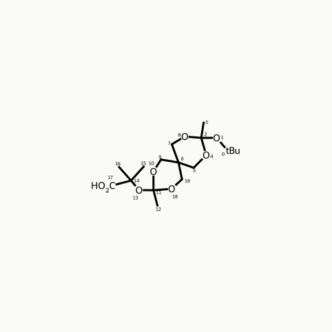 CC(C)(C)OC1(C)OCC2(CO1)COC(C)(OC(C)(C)C(=O)O)OC2